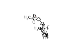 CCN(C(=O)c1cc(-c2cnn(-c3c(C(F)(F)F)c(OS(=O)(=O)C(F)(F)C(F)(F)F)nn3C)c2)ccc1Cl)C1CC1